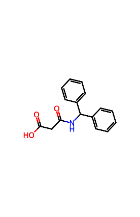 O=C(O)CC(=O)NC(c1ccccc1)c1ccccc1